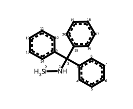 [SiH3]NC(c1ccccc1)(c1ccccc1)c1ccccc1